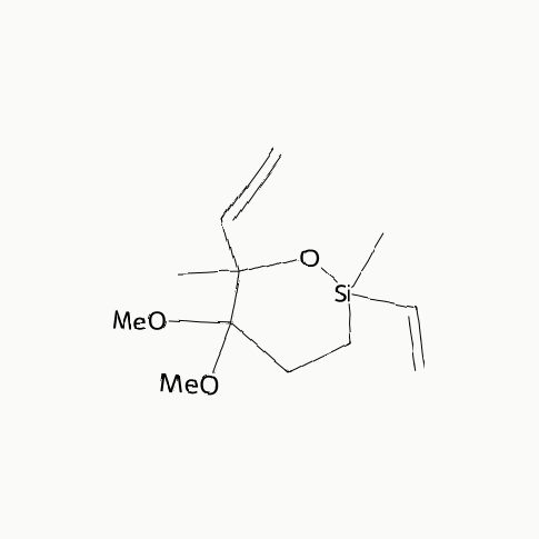 C=CC1(C)O[Si](C)(C=C)CCC1(OC)OC